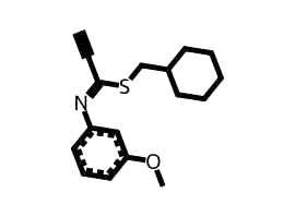 C#CC(=Nc1cccc(OC)c1)SCC1CCCCC1